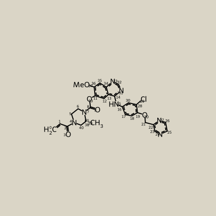 C=CC(=O)N1CCN(C(=O)Oc2cc3c(Nc4ccc(OCc5cnccn5)c(Cl)c4)ncnc3cc2OC)[C@H](C)C1